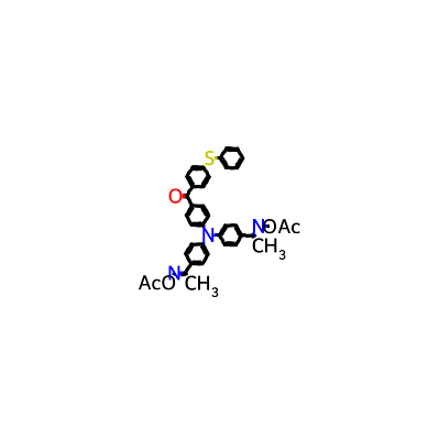 CC(=O)O/N=C(\C)c1ccc(N(c2ccc(C(=O)c3ccc(Sc4ccccc4)cc3)cc2)c2ccc(/C(C)=N/OC(C)=O)cc2)cc1